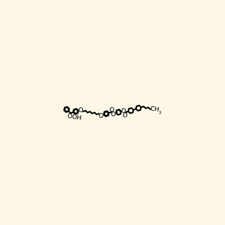 CCCCCC1CCC(C2CCC(C(=O)OC3=CC=C(OC(=O)c4ccc(OCCCCCCCCOc5ccc(C(=O)c6ccccc6)c(O)c5)cc4)CC3)CC2)CC1